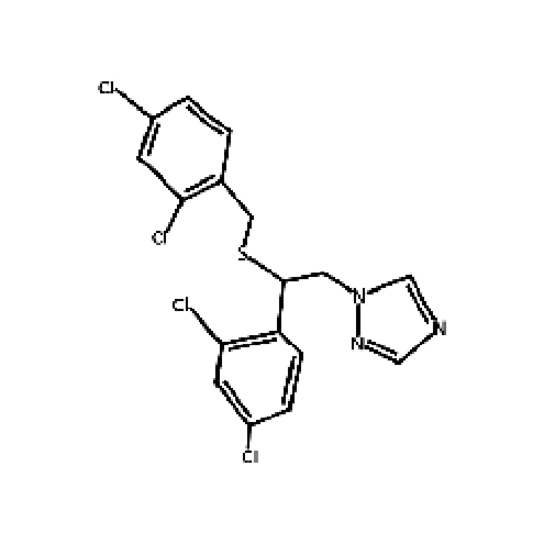 Clc1ccc(CSC(Cn2cncn2)c2ccc(Cl)cc2Cl)c(Cl)c1